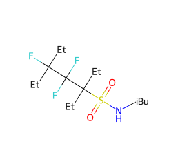 CCC(C)NS(=O)(=O)C(CC)(CC)C(F)(F)C(F)(CC)CC